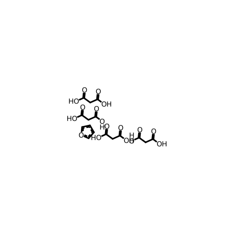 O=C(O)CC(=O)O.O=C(O)CC(=O)O.O=C(O)CC(=O)O.O=C(O)CC(=O)O.c1ccoc1